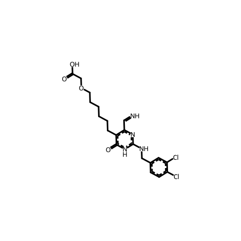 N=Cc1nc(NCc2ccc(Cl)c(Cl)c2)[nH]c(=O)c1CCCCCCOCC(=O)O